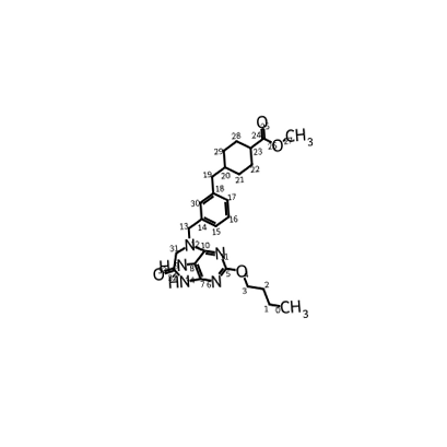 CCCCOc1nc2c(N)c(n1)N(Cc1cccc(CC3CCC(C(=O)OC)CC3)c1)CC(=O)N2